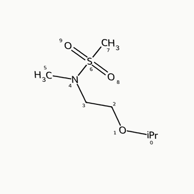 CC(C)OCCN(C)S(C)(=O)=O